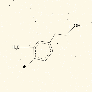 Cc1cc(CCO)ccc1C(C)C